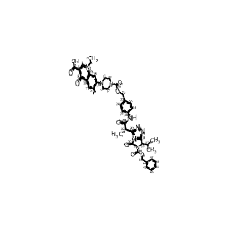 CCn1cc(C(=O)O)c(=O)c2cc(F)c(N3CCN(C(=O)OCc4ccc(NC(=O)[C@@H](C)c5nnc6n5C(=O)N(C(=O)OCc5ccccc5)C6C(C)C)cc4)CC3)cc21